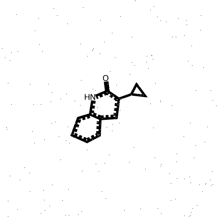 O=c1[nH]c2ccccc2cc1C1CC1